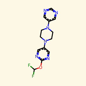 FC(F)Oc1ncc(N2CCN(c3cncnc3)CC2)cn1